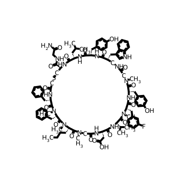 CCCC[C@H]1C(=O)N(C)CC(=O)N[C@@H](CC(=O)O)C(=O)N[C@@H](C(C)C)C(=O)N(C)[C@@H](Cc2cccc(F)c2)C(=O)N[C@@H](Cc2ccc(O)cc2)C(=O)N(C)CC(=O)NC[C@@H](Cc2c[nH]c3ccccc23)C(=O)N[C@@H](Cc2ccc(O)cc2)C(=O)N[C@@H](CC(C)C)C(=O)N[C@H](C(=O)NCC(N)=O)CSCC(=O)N[C@@H](Cc2ccccc2)C(=O)N(C)[C@@H](Cc2ccccc2)C(=O)N1C